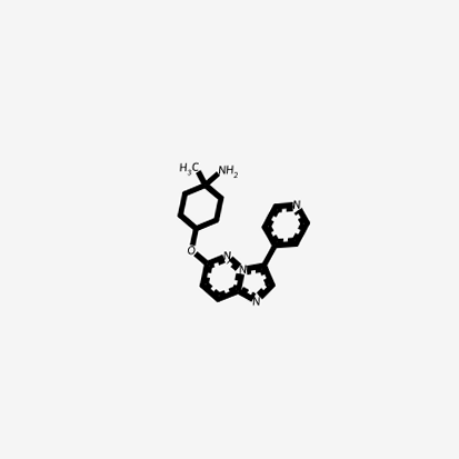 CC1(N)CCC(Oc2ccc3ncc(-c4ccncc4)n3n2)CC1